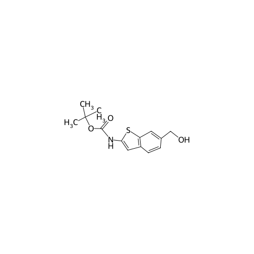 CC(C)(C)OC(=O)Nc1cc2ccc(CO)cc2s1